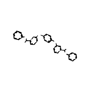 O=C(Oc1ccccc1)c1cccc(Oc2ccc(Oc3cccc(C(=O)Oc4ccccc4)c3)cc2)c1